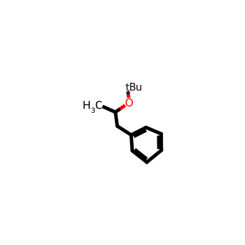 CC(Cc1ccccc1)OC(C)(C)C